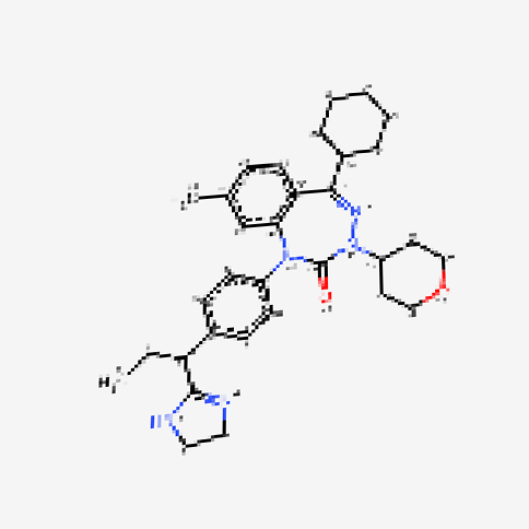 CCC(C1=NCCN1)c1ccc(N2C(=O)N(C3CCOCC3)N=C(C3CCCCC3)c3ccc(C)cc32)cc1